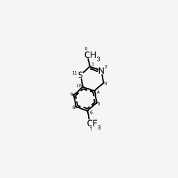 CC1=NCc2cc(C(F)(F)F)ccc2S1